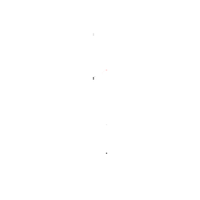 CCCCCCCCCCC[C@H]1CC=C(CCCCCC)C(=O)O1